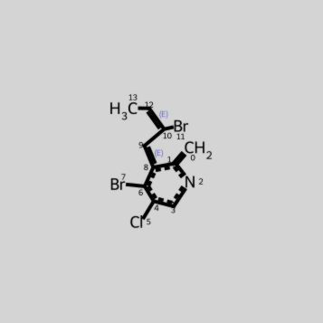 C=c1ncc(Cl)c(Br)/c1=C/C(Br)=C\C